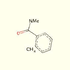 C.CNC(=O)c1ccccc1